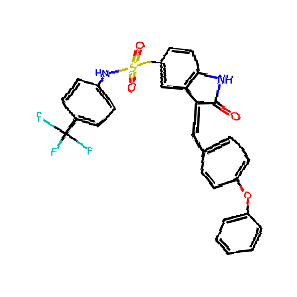 O=C1Nc2ccc(S(=O)(=O)Nc3ccc(C(F)(F)F)cc3)cc2C1=Cc1ccc(Oc2ccccc2)cc1